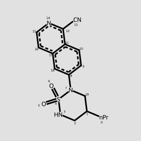 CCCC1CNS(=O)(=O)N(c2ccc3c(C#N)nccc3c2)C1